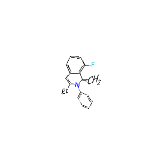 C=C1c2c(F)cccc2C=C(CC)N1c1ccccc1